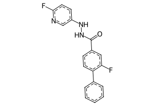 O=C(NNc1ccc(F)nc1)c1ccc(-c2ccccc2)c(F)c1